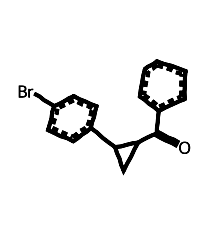 O=C(c1ccccc1)C1CC1c1ccc(Br)cc1